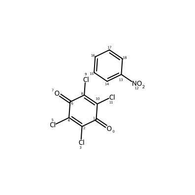 O=C1C(Cl)=C(Cl)C(=O)C(Cl)=C1Cl.O=[N+]([O-])c1ccccc1